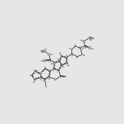 C=C(C)c1c(-c2cn3ncnc3c(C)c2C)n(C(=O)OC(C)(C)C)c2sc(C3CCN(C(=O)OC(C)(C)C)CC3)nc12